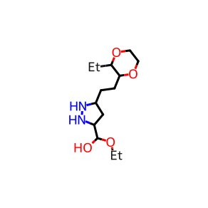 CCOC(O)C1CC(CCC2OCCOC2CC)NN1